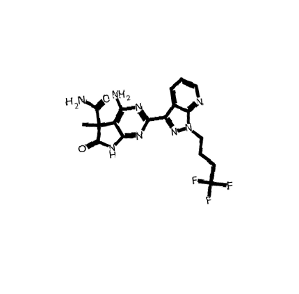 CC1(C(N)=O)C(=O)Nc2nc(-c3nn(CCCC(F)(F)F)c4ncccc34)nc(N)c21